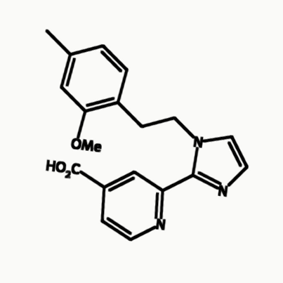 COc1cc(C)ccc1CCn1ccnc1-c1cc(C(=O)O)ccn1